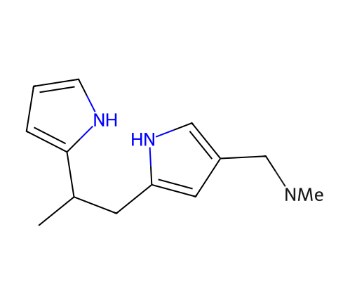 CNCc1c[nH]c(CC(C)c2ccc[nH]2)c1